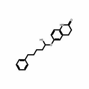 O=C1CCc2cc(OC(S)CCCCc3ccccc3)ccc2N1